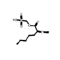 C=C=C(CCCCC)C(=O)OCS(=O)(=O)O